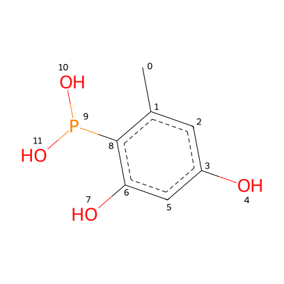 Cc1cc(O)cc(O)c1P(O)O